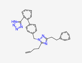 C=CCCc1nc(CCc2ccccc2)nn1Cc1ccc(-c2ccccc2-c2nnn[nH]2)cc1